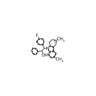 Cc1ccc2c(c1)c1c(n2C(c2ccc(F)cc2)C(O)c2ccccc2)CCN(C)C1